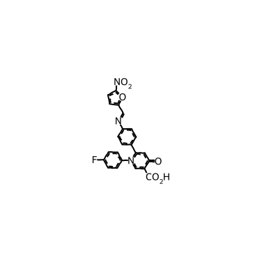 O=C(O)c1cn(-c2ccc(F)cc2)c(-c2ccc(N=Cc3ccc([N+](=O)[O-])o3)cc2)cc1=O